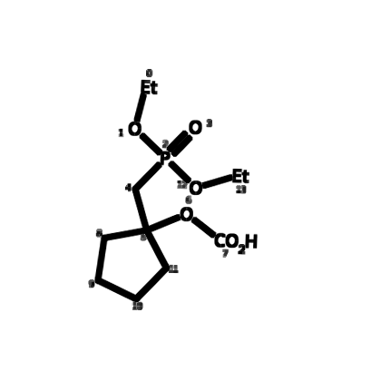 CCOP(=O)(CC1(OC(=O)O)CCCC1)OCC